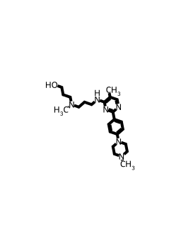 Cc1cnc(-c2ccc(N3CCN(C)CC3)cc2)nc1NCCCN(C)CCCO